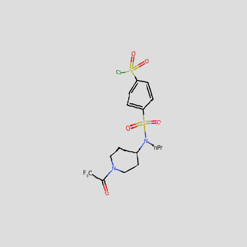 CCCN(C1CCN(C(=O)C(F)(F)F)CC1)S(=O)(=O)c1ccc(S(=O)(=O)Cl)cc1